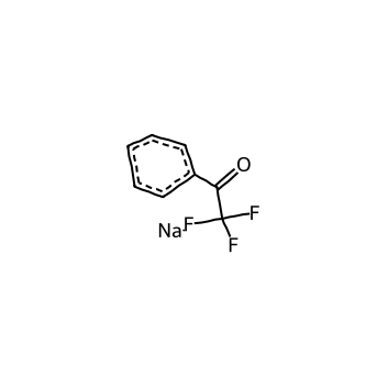 O=C(c1ccccc1)C(F)(F)F.[Na]